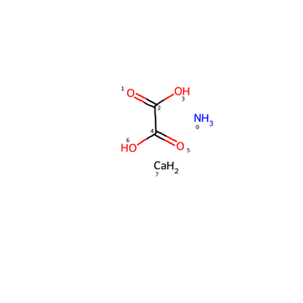 N.O=C(O)C(=O)O.[CaH2]